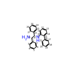 N[C@@H](c1ccccc1)[C@@H](Nc1ccccc1-c1ccccc1)c1ccccc1